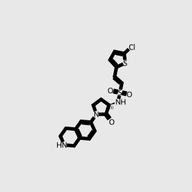 O=C1[C@@H](NS(=O)(=O)C=Cc2ccc(Cl)s2)CCN1c1ccc2c(c1)CCNC2